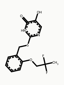 CC(F)(F)COc1ccccc1CSc1ncc(O)c(=O)[nH]1